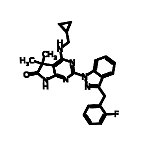 CC1(C)C(=O)Nc2nc(-n3nc(Cc4ccccc4F)c4ccccc43)nc(NCC3CC3)c21